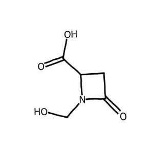 O=C(O)C1CC(=O)N1CO